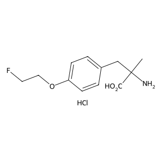 CC(N)(Cc1ccc(OCCF)cc1)C(=O)O.Cl